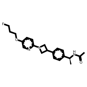 CC(=O)N[C@@H](C)c1ccc(C2CN(c3ccc(OCCCF)cn3)C2)cc1